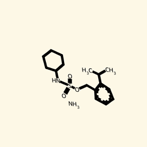 CC(C)c1ccccc1COS(=O)(=O)NC1CCCCC1.N